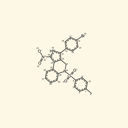 Cc1ccc(S(=O)(=O)N2Cc3c(-c4ccc(Br)cc4)[nH]c([N+](=O)[O-])c3-c3ccccc32)cc1